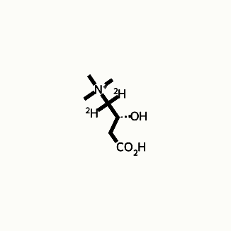 [2H]C([2H])([C@H](O)CC(=O)O)[N+](C)(C)C